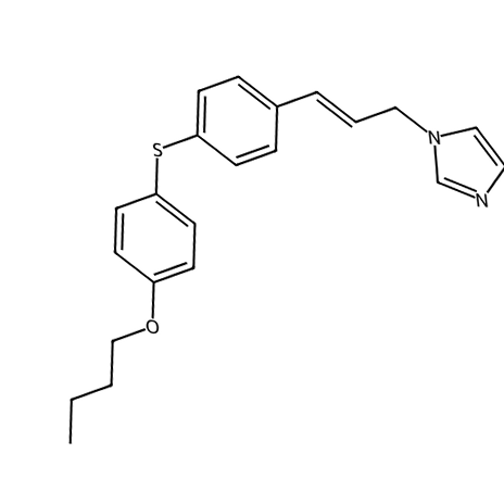 CCCCOc1ccc(Sc2ccc(C=CCn3ccnc3)cc2)cc1